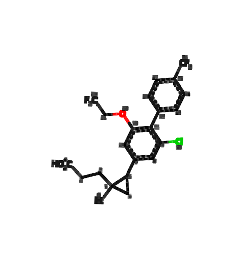 CCC1(CCC(=O)O)CC1c1cc(Cl)c(-c2ccc(C(F)(F)F)cc2)c(OCC(F)(F)F)c1